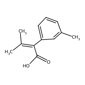 CC(C)=C(C(=O)O)c1cccc(C)c1